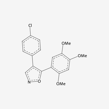 COc1cc(OC)c(-c2oncc2-c2ccc(Cl)cc2)cc1OC